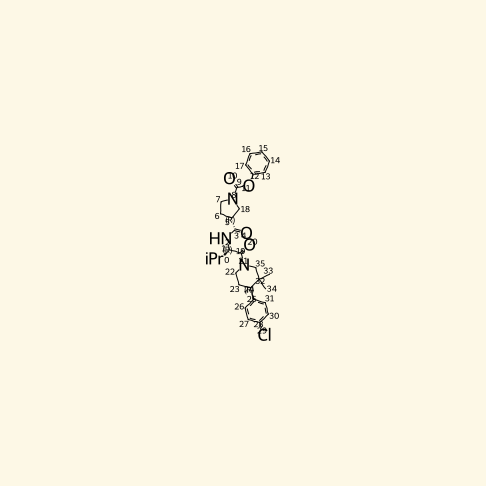 CC(C)[C@@H](NC(=O)[C@@H]1CCN(C(=O)Oc2ccccc2)C1)C(=O)N1CC[C@H](c2ccc(Cl)cc2)C(C)(C)C1